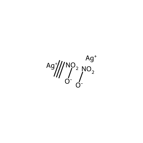 C#C.O=[N+]([O-])[O-].O=[N+]([O-])[O-].[Ag+].[Ag+]